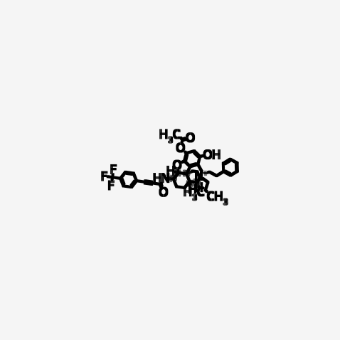 CC(=O)Oc1cc(O)c2c3c1O[C@H]1[C@H](NC(=O)C#Cc4ccc(C(F)(F)F)cc4)CC[C@H]4[C@@H](C2)[N+](CCc2ccccc2)(CC(C)C)CC[C@@]341